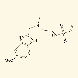 C=CS(=O)(=O)NCCN(C)Cc1nc2cc(OC)ccc2[nH]1